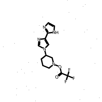 O=C(ON1CCCC(n2cnc(-c3ncc[nH]3)c2)C1)C(F)(F)F